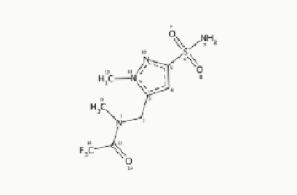 CN(Cc1cc(S(N)(=O)=O)nn1C)C(=O)C(F)(F)F